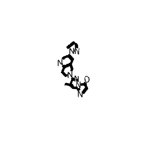 Cc1cc2nccc(=O)n2nc1N1CCc2ncc(-n3cccn3)cc2C1